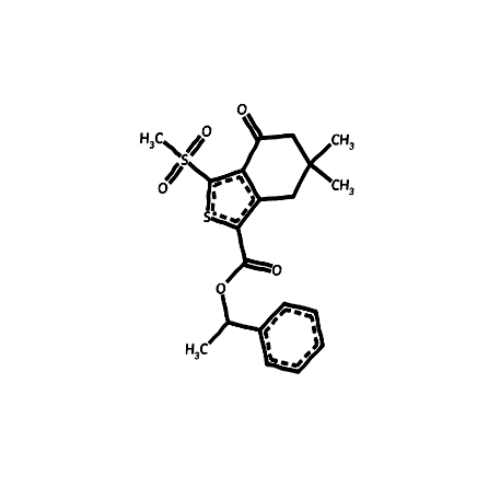 CC(OC(=O)c1sc(S(C)(=O)=O)c2c1CC(C)(C)CC2=O)c1ccccc1